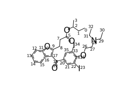 CCC(C)OC(=O)CCc1oc2ccccc2c1C(=O)c1cc(I)c(OCCN(CC)CC)c(I)c1